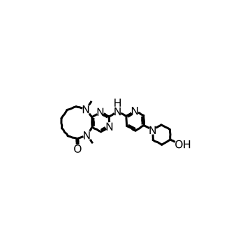 CN1CCCCCC(=O)N(C)c2cnc(Nc3ccc(N4CCC(O)CC4)cn3)nc21